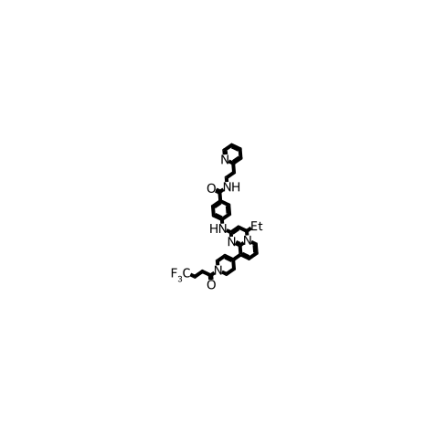 CCC1C=C(Nc2ccc(C(=O)NCCc3ccccn3)cc2)N=C2C(C3=CCN(C(=O)CCC(F)(F)F)CC3)=CC=CN21